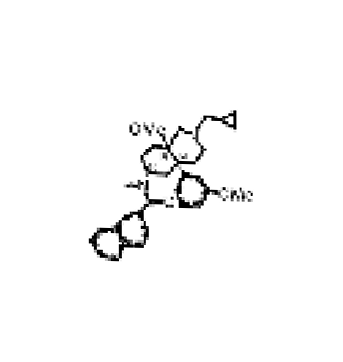 COc1cccc([C@@]23CCN(CC4CC4)C[C@@]2(OC)CC[C@@H](N(C)C(=O)c2ccc4ccccc4c2)C3)c1